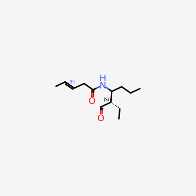 C/C=C/CC(=O)NC(CCC)[C@@H](C=O)CC